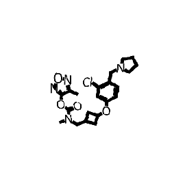 Cc1nonc1OC(=O)N(C)CC1CC(Oc2ccc(CN3CCCC3)c(Cl)c2)C1